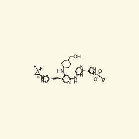 O=S(=O)(C1CC1)n1cc(-c2nccc(Nc3cc(NC4CCC(CO)CC4)c(C#Cc4cnn([C@H]5CC5(F)F)c4)cn3)n2)cn1